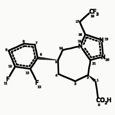 O=C(O)C[C@@H]1CC[C@H](c2cccc(F)c2F)Cn2c(CC(F)(F)F)nnc21